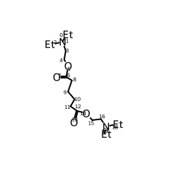 CCN(CC)CCOC(=O)CCCCC(=O)OCCN(CC)CC